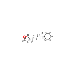 CC(C)(CCC(C)(C)C1CCOC1)C1CCCCC1